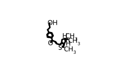 Cc1sc(C=CC(=O)c2ccc(CCCO)cc2)c2c1[C@H]1[C@@H](C2)C1(C)C